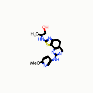 COc1ccc(Nc2ncc3c(n2)-c2sc(NC(C)CO)nc2CC3)cn1